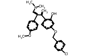 C=C(/C(=C\N(C)C)c1ccc(OC)cc1)c1ccc(OCc2ccc(Cl)cc2)cc1O